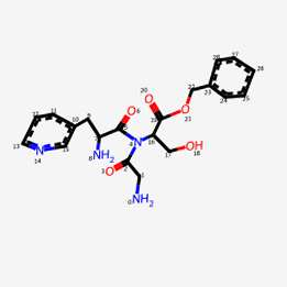 NCC(=O)N(C(=O)C(N)Cc1cccnc1)C(CO)C(=O)OCc1ccccc1